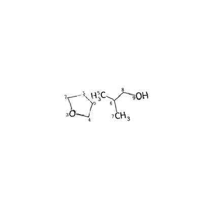 C1CCOC1.CC(C)CO